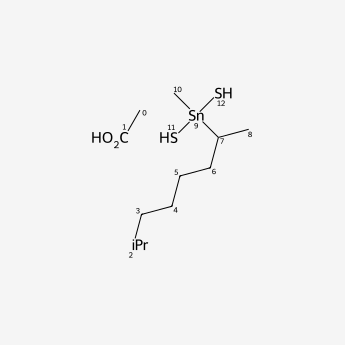 CC(=O)O.CC(C)CCCC[CH](C)[Sn]([CH3])([SH])[SH]